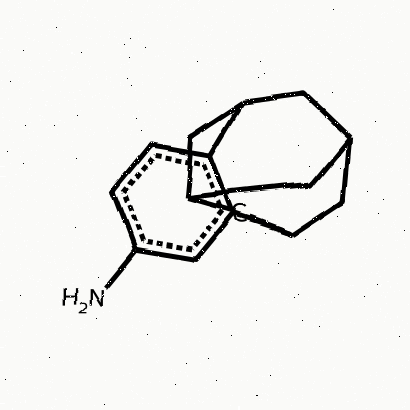 Nc1ccc2c(c1)C1CC3CC(CC2C3)C1